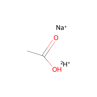 CC(=O)O.[2H+].[Na+]